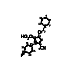 N#Cc1cc(OCc2ccccc2)c(C(=O)O)n1-c1ccc(F)cc1